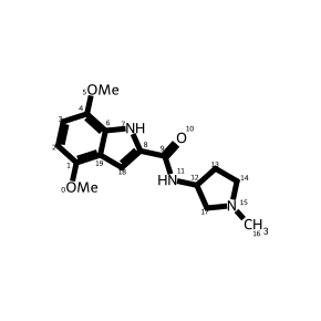 COc1ccc(OC)c2[nH]c(C(=O)NC3CCN(C)C3)cc12